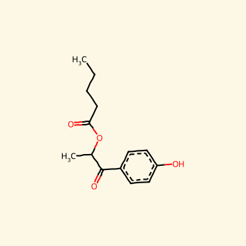 CCCCC(=O)OC(C)C(=O)c1ccc(O)cc1